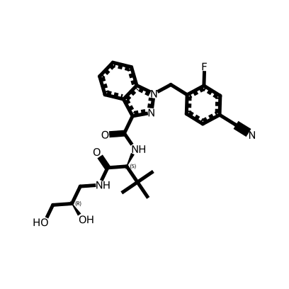 CC(C)(C)[C@H](NC(=O)c1nn(Cc2ccc(C#N)cc2F)c2ccccc12)C(=O)NC[C@@H](O)CO